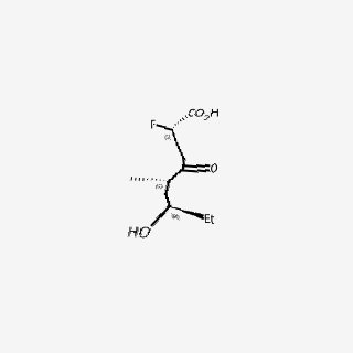 CC[C@@H](O)[C@H](C)C(=O)[C@H](F)C(=O)O